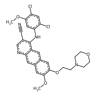 COc1cc(Nc2c(C#N)cnc3cc4cc(OC)c(OCCN5CCOCC5)cc4cc23)c(Cl)cc1Cl